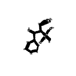 CS(=O)(=O)C(C=O)C(=O)c1ccccc1